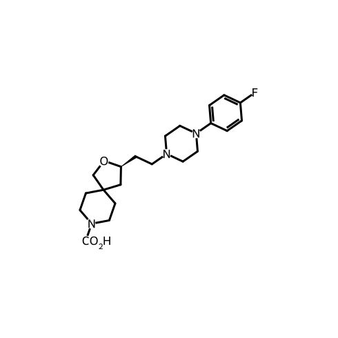 O=C(O)N1CCC2(CC1)CO[C@@H](CCN1CCN(c3ccc(F)cc3)CC1)C2